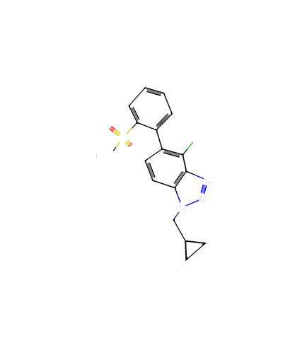 CS(=O)(=O)c1ccccc1-c1ccc2c(nnn2CC2CC2)c1Cl